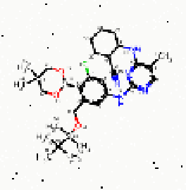 Cc1cnc(Nc2cc(Cl)c(B3OCC(C)(C)CO3)c(CO[Si](C)(C)C(C)(C)C)c2)nc1NC1CCCCC1C#N